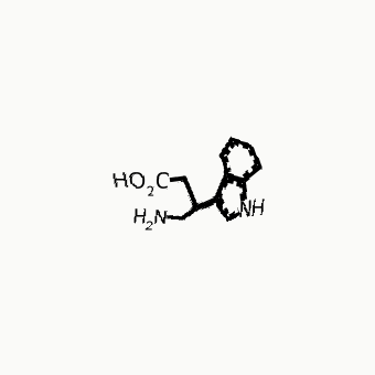 NCC(CC(=O)O)c1c[nH]c2ccccc12